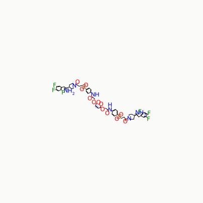 N[C@H](Cc1cc(F)c(F)cc1F)C1CCN(C(=O)CCS(=O)(=O)c2ccc(NC(=O)COC(=O)/C=C\C(=O)OCC(=O)Nc3ccc(S(=O)(=O)CCC(=O)N4CCC([C@H](N)Cc5cc(F)c(F)cc5F)CC4)cc3)cc2)CC1